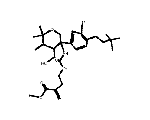 C=C(CCNC(=O)NC1(c2ccc(CCC(C)(C)C)c(Cl)c2)COC(C)(C)C(C)C1CO)C(=O)OC